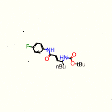 CCCCC(C=CC(=O)Nc1ccc(F)cc1)NC(=O)OC(C)(C)C